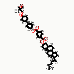 CCC1(COc2ccc(-c3ccc(OC(=O)c4ccc(C(=O)OC5CCC6(C)C(=CCC7C6CCC6(C)C(C(C)CCCC(C)C)CCC76)C5)cc4)cc3)cc2)COC1